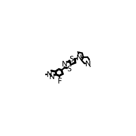 CN1CCC2(CC1)CCN2c1cc2sc(-c3cc(F)c4nn(C)cc4c3)nc2s1